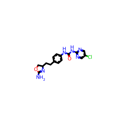 NC1=NC(CCc2ccc(NC(=O)Nc3ncc(Cl)cn3)cc2)CO1